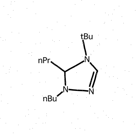 CCCCN1N=CN(C(C)(C)C)C1CCC